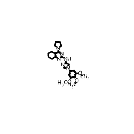 COc1cc(-n2cnc(Nc3nc4c(c(N5CCCC5)n3)CCCC4)c2)cc(OC)c1OC